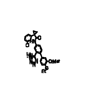 CCOc1ccc(-c2ccc(NC(=O)C3(c4cccc(Cl)c4)CC3)cc2-c2nnn[nH]2)cc1OC